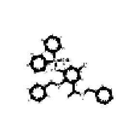 CC(OCc1ccccc1)c1cc(Cl)cc(O[Si](c2ccccc2)(c2ccccc2)C(C)(C)C)c1SCc1ccccc1